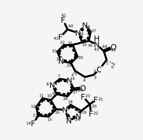 C[C@@H]1CCC[C@H](n2cnc(-c3ccc(F)cc3-n3cc(C(F)(F)F)nn3)cc2=O)c2cc(ccn2)-c2c(cnn2C(F)F)NC1=O